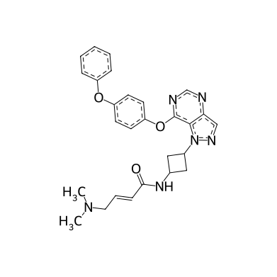 CN(C)CC=CC(=O)NC1CC(n2ncc3ncnc(Oc4ccc(Oc5ccccc5)cc4)c32)C1